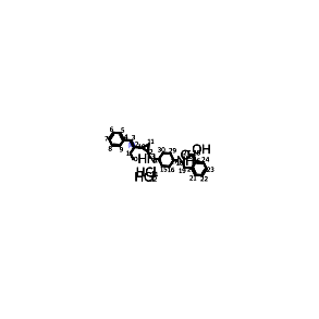 CC/C(=C\c1ccccc1)C1CC1NC1CCC(NCc2ccccc2C(=O)O)CC1.Cl.Cl